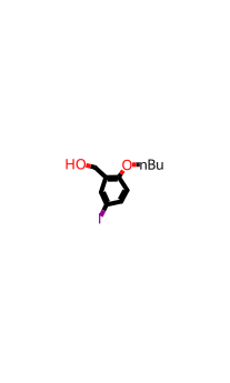 CCCCOc1ccc(I)cc1CO